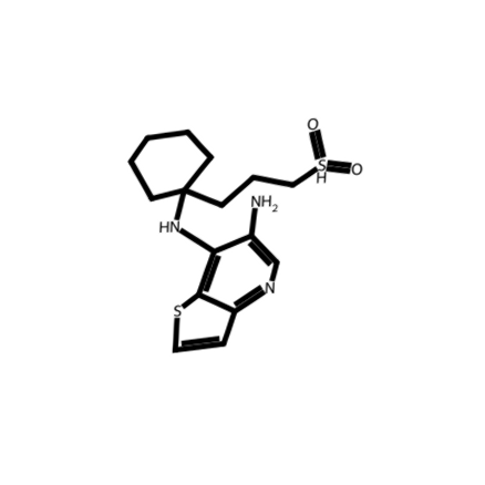 Nc1cnc2ccsc2c1NC1(CCC[SH](=O)=O)CCCCC1